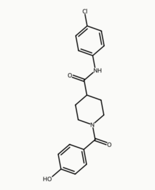 O=C(Nc1ccc(Cl)cc1)C1CCN(C(=O)c2ccc(O)cc2)CC1